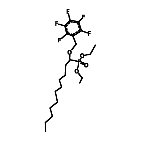 CCCCCCCCCCC(OCc1c(F)c(F)c(F)c(F)c1F)P(=O)(OCC)OCC